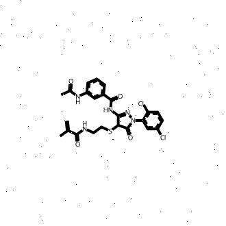 C=C(C)C(=O)NCCSC1C(=O)N(c2cc(Cl)ccc2Cl)N=C1NC(=O)c1cccc(NC(C)=O)c1